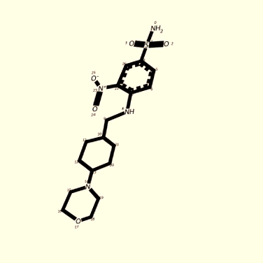 NS(=O)(=O)c1ccc(NCC2CCC(N3CCOCC3)CC2)c([N+](=O)[O-])c1